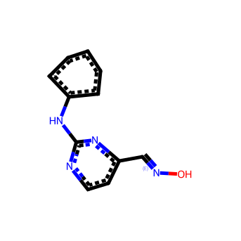 O/N=C/c1ccnc(Nc2ccccc2)n1